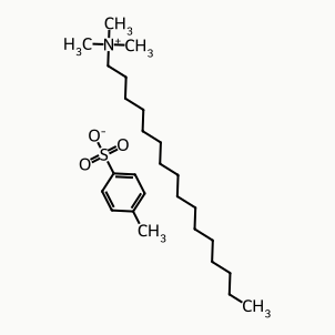 CCCCCCCCCCCCCCCC[N+](C)(C)C.Cc1ccc(S(=O)(=O)[O-])cc1